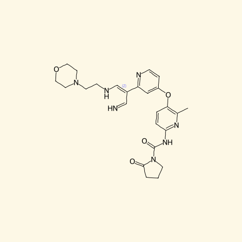 Cc1nc(NC(=O)N2CCCC2=O)ccc1Oc1ccnc(/C(C=N)=C/NCCN2CCOCC2)c1